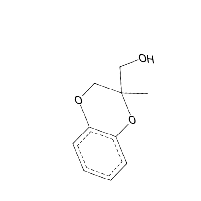 CC1(CO)COc2ccccc2O1